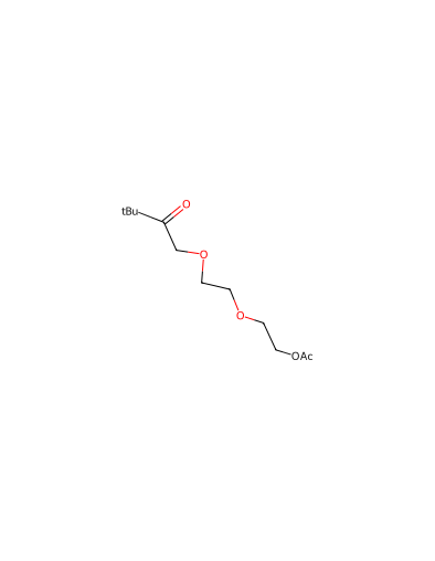 CC(=O)OCCOCCOCC(=O)C(C)(C)C